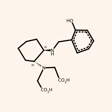 O=C(O)CN(CC(=O)O)[C@@H]1CCCC[C@H]1NCc1ccccc1O